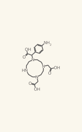 Nc1ccc(C(C(=O)O)N2CCNCCN(CC(=O)O)CCN(CC(=O)O)CC2)cc1